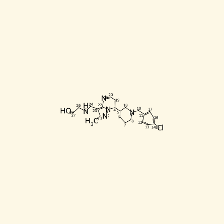 Cc1nn2c(C3CCCN(Cc4ccc(Cl)cc4)C3)ccnc2c1CNCCO